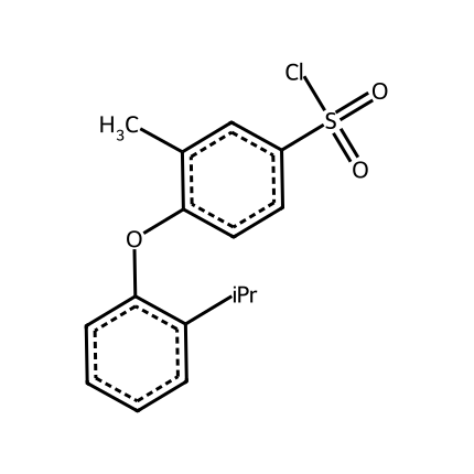 Cc1cc(S(=O)(=O)Cl)ccc1Oc1ccccc1C(C)C